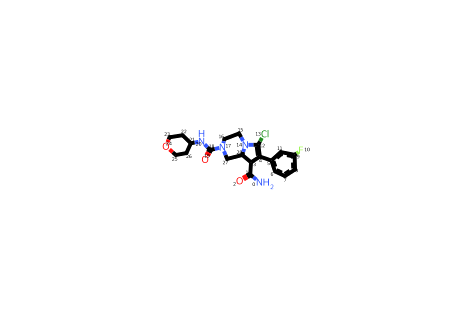 NC(=O)C1C(c2cccc(F)c2)=C(Cl)N2CCN(C(=O)NC3CCOCC3)CC12